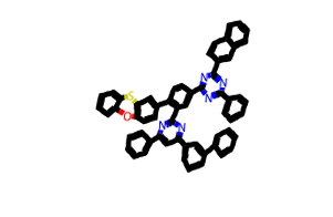 c1ccc(-c2cccc(-c3cc(-c4ccccc4)nc(-c4cc(-c5nc(-c6ccccc6)nc(-c6ccc7ccccc7c6)n5)ccc4-c4ccc5c(c4)Sc4ccccc4O5)n3)c2)cc1